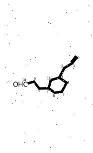 C=CCC1CCCC(CCC=O)C1